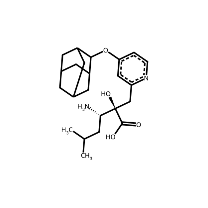 CC(C)C[C@H](N)[C@](O)(Cc1cc(OC2C3CC4CC(C3)CC2C4)ccn1)C(=O)O